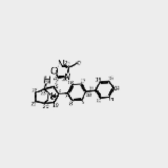 Cc1noc([C@@H]2[C@@H](c3ccc(-c4ccccc4)cc3)CC3CC[C@H]2N3C)n1